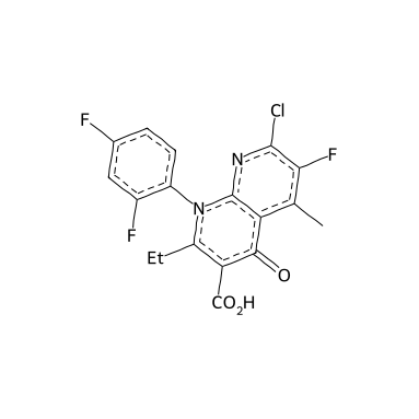 CCc1c(C(=O)O)c(=O)c2c(C)c(F)c(Cl)nc2n1-c1ccc(F)cc1F